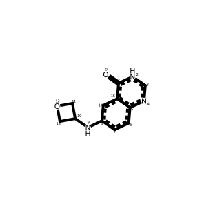 O=c1[nH]cnc2ccc(NC3COC3)cc12